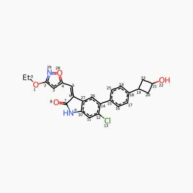 CCOc1cc(/C=C2\C(=O)Nc3cc(Cl)c(-c4ccc(C5CC(O)C5)cc4)cc32)on1